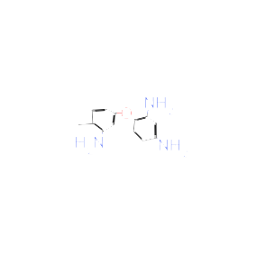 Cc1ccc(Oc2ccc(N)cc2N)cc1N